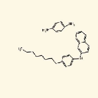 CCCCCCCCc1ccc(Nc2ccc3ccccc3c2)cc1.Nc1ccc(N)cc1